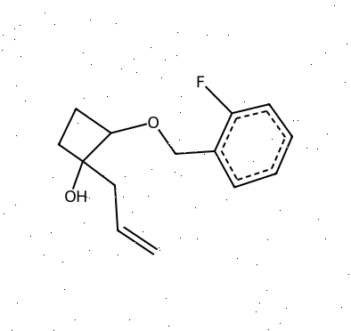 C=CCC1(O)CCC1OCc1ccccc1F